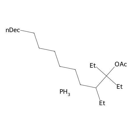 CCCCCCCCCCCCCCCCC(CC)C(CC)(CC)OC(C)=O.P